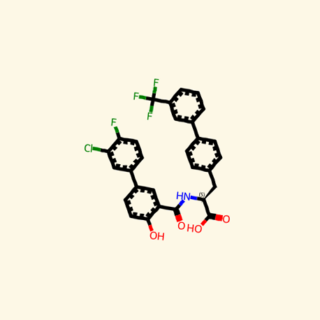 O=C(N[C@@H](Cc1ccc(-c2cccc(C(F)(F)F)c2)cc1)C(=O)O)c1cc(-c2ccc(F)c(Cl)c2)ccc1O